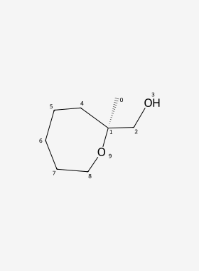 C[C@@]1(CO)CCCCCO1